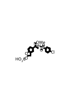 CON=C(CNS(=O)(=O)c1ccc(Cl)cc1)c1ccc2c(c1)CC(OC(=O)O)O2